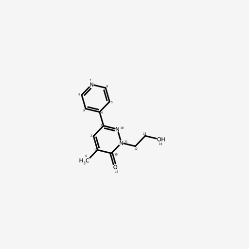 Cc1cc(-c2ccncc2)nn(CCO)c1=O